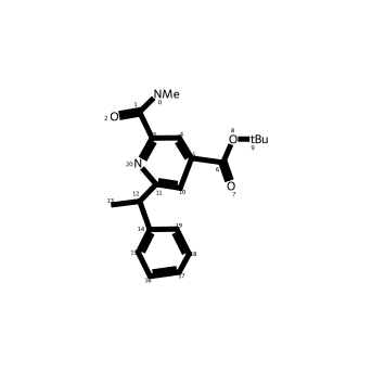 CNC(=O)c1cc(C(=O)OC(C)(C)C)cc(C(C)c2ccccc2)n1